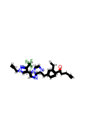 C#CCCC(=O)c1ccc(Cc2nccn3c(-c4cn(CC#C)nc4C(F)(F)F)cnc23)cc1CC